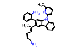 CC(=C/C=C\CN)c1cc2c3ccccc3n(-c3cccc(C)n3)c2cc1-c1ccccc1N